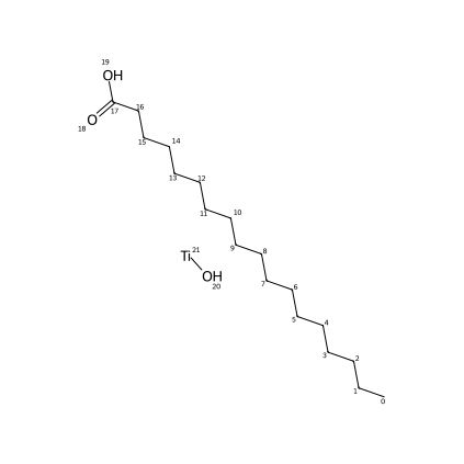 CCCCCCCCCCCCCCCCCC(=O)O.[OH][Ti]